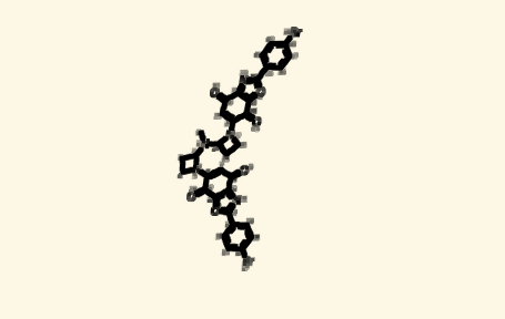 CN(C1CCN1C1=CC(=O)c2nc(-c3ccc(Br)cc3)oc2C1=O)C1CCN1C1=CC(=O)c2nc(-c3ccc(Br)cc3)oc2C1=O